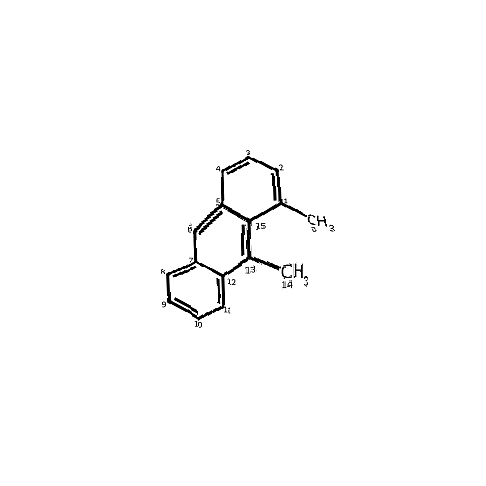 Cc1cccc2cc3ccccc3c(C)c12